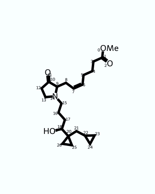 COC(=O)CCC/C=C\CC1C(=O)CCN1CCCC(O)C1(CC2CC2)CC1